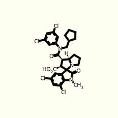 CN1C(=O)C2(c3cc(Cl)cc(Cl)c31)[C@@H](C(=O)O)[C@@H](C(=O)N(CC1CCCC1)c1cc(Cl)cc(Cl)c1)[C@H]1CCCN12